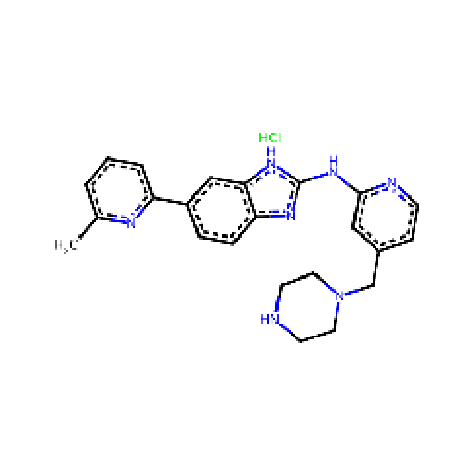 Cc1cccc(-c2ccc3nc(Nc4cc(CN5CCNCC5)ccn4)[nH]c3c2)n1.Cl